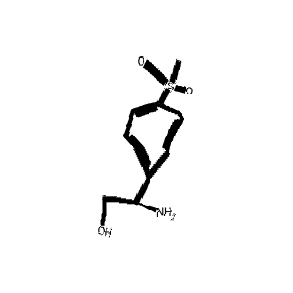 CS(=O)(=O)c1ccc([C@@H](N)CO)cc1